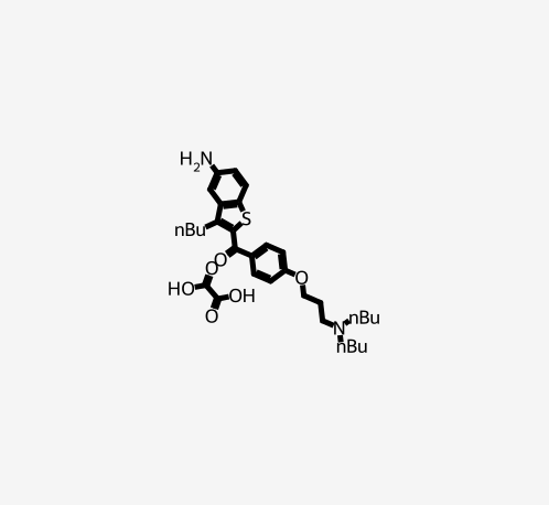 CCCCc1c(C(=O)c2ccc(OCCCN(CCCC)CCCC)cc2)sc2ccc(N)cc12.O=C(O)C(=O)O